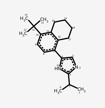 CC(C)c1ncc(-c2ccc(C(C)(C)C)c3c2CCCC3)[nH]1